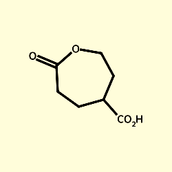 O=C1CCC(C(=O)O)CCO1